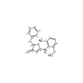 N#Cc1cccc(CO)c1NC1=CC(=O)N(Cc2ccccc2)C1